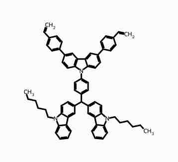 C=Cc1ccc(-c2ccc3c(c2)c2cc(-c4ccc(C=C)cc4)ccc2n3-c2ccc(C(c3ccc4c(c3)c3ccccc3n4CCCCCC)c3ccc4c(c3)c3ccccc3n4CCCCCC)cc2)cc1